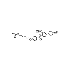 C=CC(=O)OCCCCCCOc1ccc(C(=O)Oc2ccc(C3CCC(CCC)CC3)cc2C=O)cc1